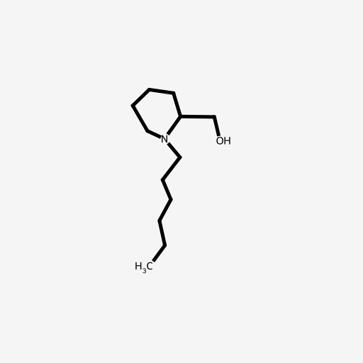 CCCCCCN1CCCCC1CO